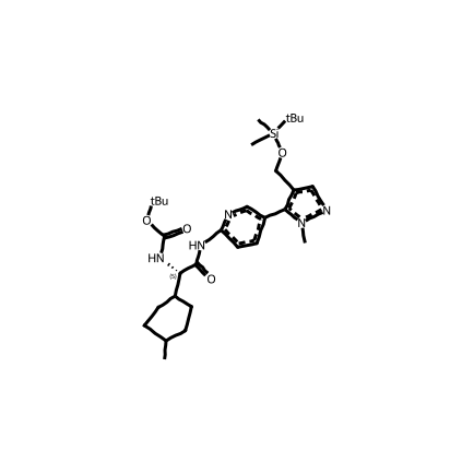 CC1CCC([C@H](NC(=O)OC(C)(C)C)C(=O)Nc2ccc(-c3c(CO[Si](C)(C)C(C)(C)C)cnn3C)cn2)CC1